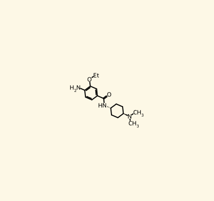 CCOc1cc(C(=O)N[C@H]2CC[C@H](N(C)C)CC2)ccc1N